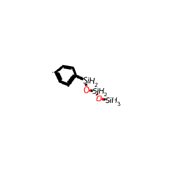 [SiH3]O[SiH2]O[SiH2]c1cc[c]cc1